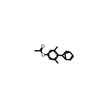 CC(=O)Oc1cc(C)c(C2CC3C=CC2C3)c(C)c1